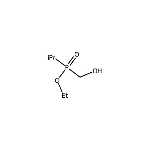 CCOP(=O)(CO)C(C)C